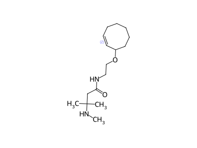 CNC(C)(C)CC(=O)NCCOC1/C=C\CCCCC1